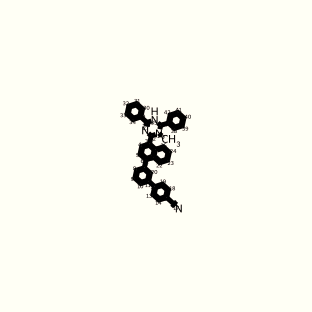 CN1C(c2ccc(-c3cccc(-c4ccc(C#N)cc4)c3)c3ccccc23)N=C(c2ccccc2)NC1c1ccccc1